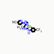 CC(NC(=O)Nc1ccc(C(F)(F)F)cc1Cl)c1ncnn1-c1ccc(C#N)cn1